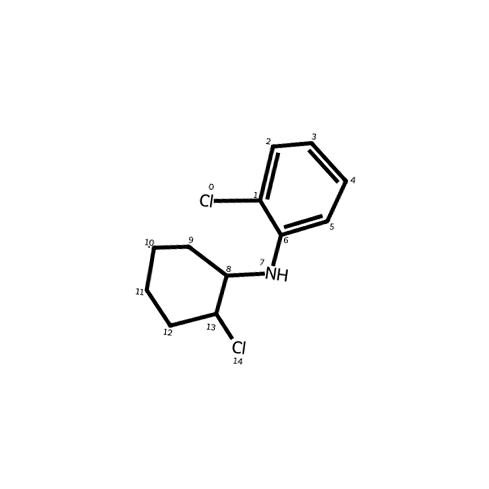 Clc1ccccc1NC1C[CH]CCC1Cl